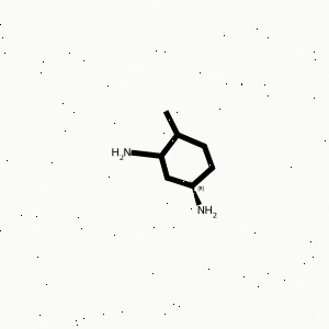 CC1CC[C@@H](N)CC1N